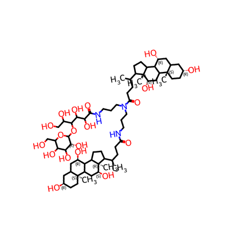 CC(CCC(=O)NCCCN(CCCNC(=O)C(O)C(O)C(OC1OC(CO)C(O)C(O)[C@H]1O)C(O)CO)C(=O)CCC(C)C1CCC2C3C(C[C@H](O)[C@]12C)[C@@]1(C)CC[C@@H](O)CC1C[C@H]3O)C1CCC2C3C(C[C@H](O)[C@]12C)[C@@]1(C)CC[C@@H](O)CC1C[C@H]3O